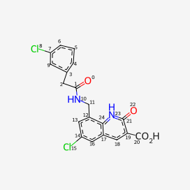 O=C(Cc1cccc(Cl)c1)NCc1cc(Cl)cc2cc(C(=O)O)c(=O)[nH]c12